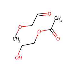 CC(=O)OCCO.COCC=O